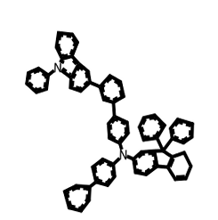 C1=CC2=C(CC1)C(c1ccccc1)(c1ccccc1)c1cc(N(c3ccc(-c4ccccc4)cc3)c3ccc(-c4cccc(-c5ccc6c(c5)c5ccccc5n6-c5ccccc5)c4)cc3)ccc12